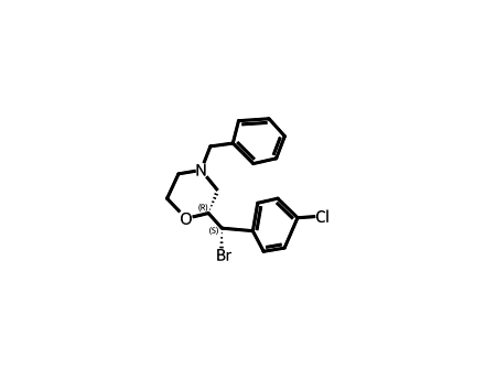 Clc1ccc([C@H](Br)[C@H]2CN(Cc3ccccc3)CCO2)cc1